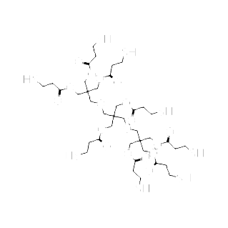 O=C(CCS)OCC(COCC(COC(=O)CCS)(COC(=O)CCS)COC(=O)CCS)(COCC(COC(=O)CCS)(COC(=O)CCS)COC(=O)CCS)COC(=O)CCS